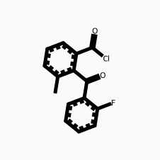 Cc1cccc(C(=O)Cl)c1C(=O)c1ccccc1F